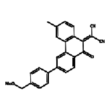 COCc1ccc(-c2ccc3c(c2)-c2cc(C)ccc2C(=C(C#N)C#N)C3=O)cc1